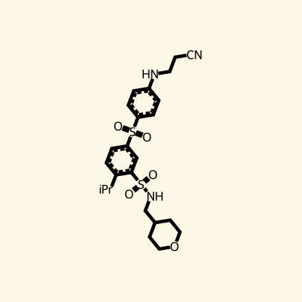 CC(C)c1ccc(S(=O)(=O)c2ccc(NCCC#N)cc2)cc1S(=O)(=O)NCC1CCOCC1